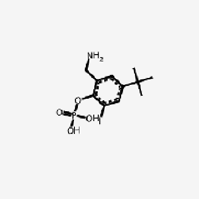 CC(C)(C)c1cc(I)c(OP(=O)(O)O)c(CN)c1